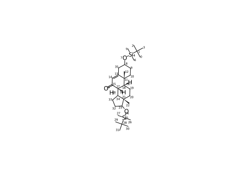 CC(C)(C)[Si](C)(C)OC1CC[C@@]2(C)C(=CC(=O)[C@@H]3[C@H]2CC[C@]2(C)C(O[Si](C)(C)C(C)(C)C)CC[C@@H]32)C1